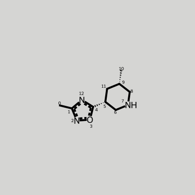 Cc1noc([C@H]2CNC[C@@H](C)C2)n1